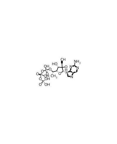 C#CC1(O)[C@@H](O)[C@@H]([C@H](C)OP(=O)(O)OP(=O)(O)OP(=O)(O)O)O[C@H]1n1cnc2cnc(N)nc21